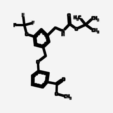 COC(=O)c1cccc(OCc2cc(CNC(=O)OC(C)(C)C)cc(OC(F)(F)F)c2)c1